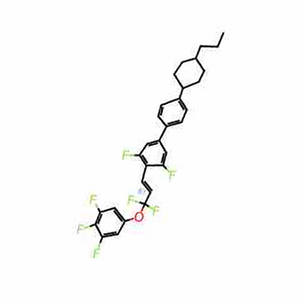 CCCC1CCC(c2ccc(-c3cc(F)c(/C=C/C(F)(F)Oc4cc(F)c(F)c(F)c4)c(F)c3)cc2)CC1